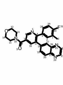 Cc1cc(-c2ncc(C(=O)N3CCOCC3)cc2-c2ccc3nccnc3c2)ccc1F